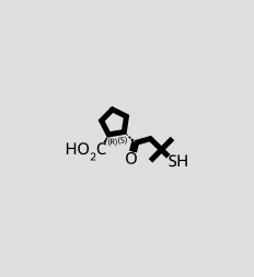 CC(C)(S)CC(=O)[C@H]1CCC[C@H]1C(=O)O